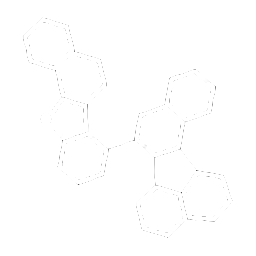 c1ccc2c3c(c(-c4cccc5oc6c7ccccc7ccc6c45)cc2c1)-c1cccc2cccc-3c12